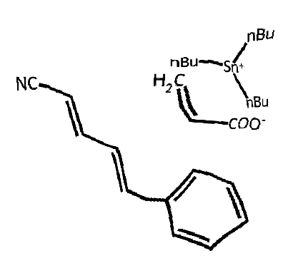 C=CC(=O)[O-].CCC[CH2][Sn+]([CH2]CCC)[CH2]CCC.N#CC=CC=Cc1ccccc1